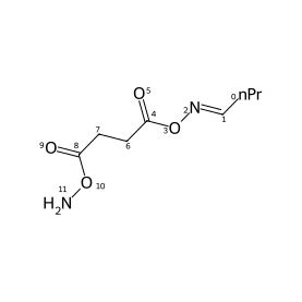 CCCC=NOC(=O)CCC(=O)ON